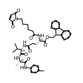 [CH2]c1ccc(NC(=O)[C@H](C)NC(=O)[C@@H](NC(=O)CC[C@H](NC(=O)CCCCCN2C(=O)C=CC2=O)C(=O)OCC2c3ccccc3-c3ccccc32)C(C)C)cc1